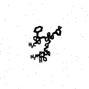 C=C1OC(COP(=O)(COCCn2cnc3c(=O)[nH]c(N)nc32)OCc2cccc(Br)c2)=C(C2CCCCC2)O1